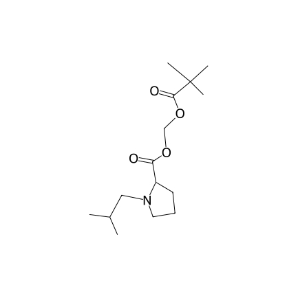 CC(C)CN1CCCC1C(=O)OCOC(=O)C(C)(C)C